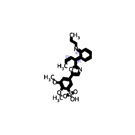 C\C=C/C(=C1/C=CC=C/C1=N\CCC)c1ncc(-c2cc(OC)c(OC)c(S(=O)(=O)O)c2)o1